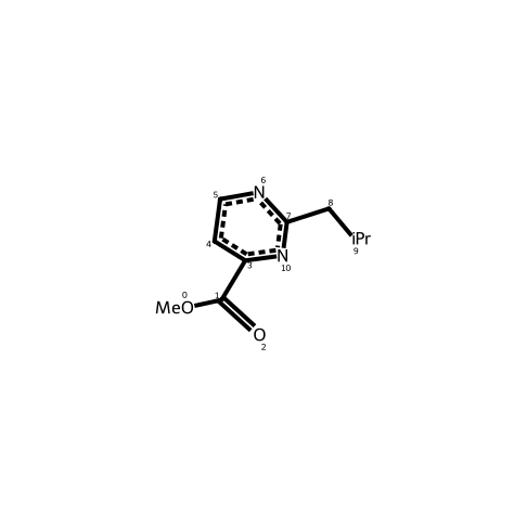 COC(=O)c1ccnc(CC(C)C)n1